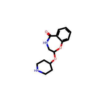 O=C1NCC(OC2CCNCC2)Oc2ccccc21